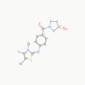 CCn1c(C)c(C(C)=O)s/c1=N/c1ccc(C(=O)N2CCC(O)C2)cc1